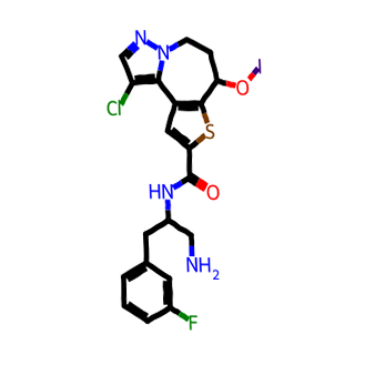 NCC(Cc1cccc(F)c1)NC(=O)c1cc2c(s1)C(OI)CCn1ncc(Cl)c1-2